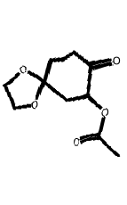 CC(=O)OC1CC2(CCC1=O)OCCO2